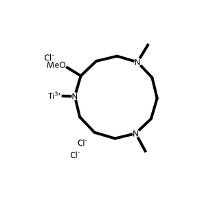 COC1CCN(C)CCCN(C)CCC[N]1[Ti+3].[Cl-].[Cl-].[Cl-]